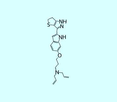 C=CCN(CC=C)CCCOc1ccc2cc(-c3n[nH]c4c3SCC4)[nH]c2c1